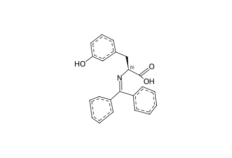 O=C(O)[C@H](Cc1cccc(O)c1)N=C(c1ccccc1)c1ccccc1